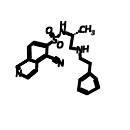 C[C@H](CNCCc1ccccc1)NS(=O)(=O)c1ccc2cnccc2c1C#N